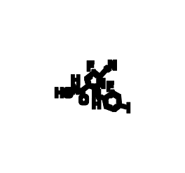 N#Cc1nc(Nc2ccc(I)cc2F)c(C(=O)NO)cc1F